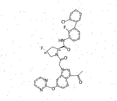 CC(=O)c1cn(CC(=O)N2C[C@H](F)C[C@H]2C(=O)Nc2cccc(-c3ccccc3Cl)c2F)c2cc(Oc3ncccn3)ccc12